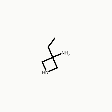 CCC1(N)CNC1